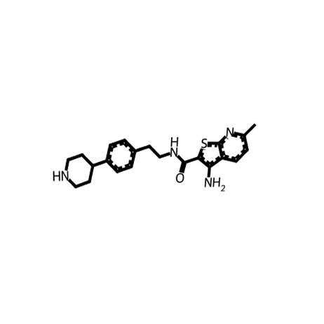 Cc1ccc2c(N)c(C(=O)NCCc3ccc(C4CCNCC4)cc3)sc2n1